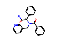 NC(=O)[C@@H](c1ccccc1)N(Cc1cccnc1)C(=O)c1ccccc1